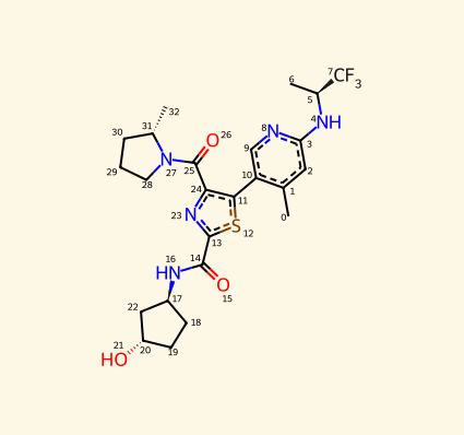 Cc1cc(N[C@@H](C)C(F)(F)F)ncc1-c1sc(C(=O)N[C@H]2CC[C@H](O)C2)nc1C(=O)N1CCC[C@@H]1C